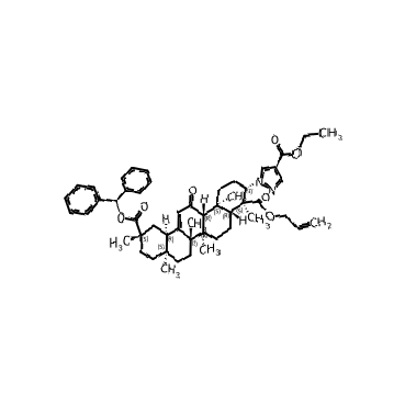 C=CCOC(=O)[C@]1(C)[C@@H](n2cc(C(=O)OCC)cn2)CC[C@@]2(C)[C@H]1CC[C@]1(C)[C@@H]2C(=O)C=C2[C@@H]3C[C@@](C)(C(=O)OC(c4ccccc4)c4ccccc4)CC[C@]3(C)CC[C@]21C